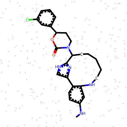 CNc1ccc2c(c1)NCCCCCC(N1CCC(c3cccc(Cl)c3)OC1=O)c1nc-2c[nH]1